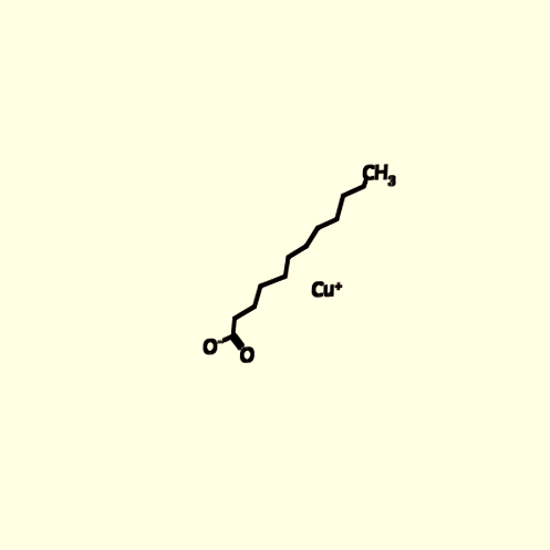 CCCCCCCCCCCC(=O)[O-].[Cu+]